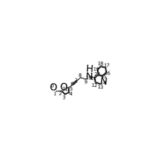 O=Cc1ccc(C#CCCNc2ccnc3ccccc23)o1